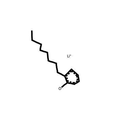 CCCCCCCCc1ccccc1[O-].[Li+]